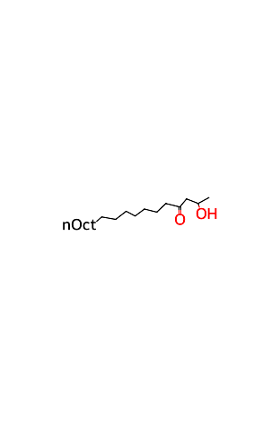 CCCCCCCCCCCCCCCC(=O)CC(C)O